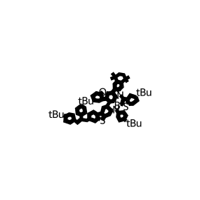 CC(C)(C)c1ccc(/C=C(/Cc2ccc3c(c2)sc2cc4c(cc23)-c2c3c5c(c6cc7c(cc6n5-c5c(sc6ccc(C(C)(C)C)cc56)B3N4c3ccc(C(C)(C)C)cc3)C(C)(C)CCC7(C)C)c3oc4ccccc4c23)c2ccc(C(C)(C)C)cc2)cc1